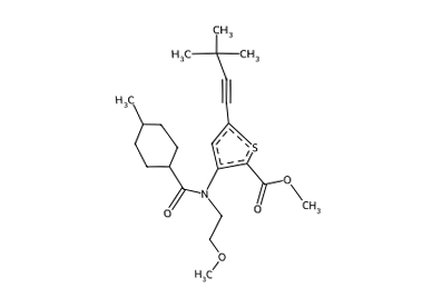 COCCN(C(=O)C1CCC(C)CC1)c1cc(C#CC(C)(C)C)sc1C(=O)OC